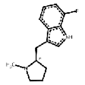 CN1CCC[C@@H]1Cc1c[nH]c2c(F)cccc12